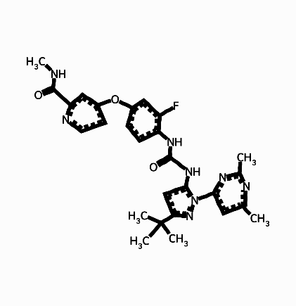 CNC(=O)c1cc(Oc2ccc(NC(=O)Nc3cc(C(C)(C)C)nn3-c3cc(C)nc(C)n3)c(F)c2)ccn1